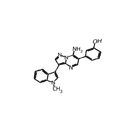 Cn1cc(-c2cnn3c(N)c(-c4cccc(O)c4)cnc23)c2ccccc21